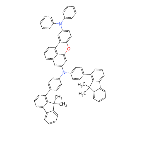 CC1(C)c2ccccc2-c2cccc(-c3ccc(N(c4ccc(-c5cccc6c5C(C)(C)c5ccccc5-6)cc4)c4cc5c6c(cccc6c4)-c4cc(N(c6ccccc6)c6ccccc6)ccc4O5)cc3)c21